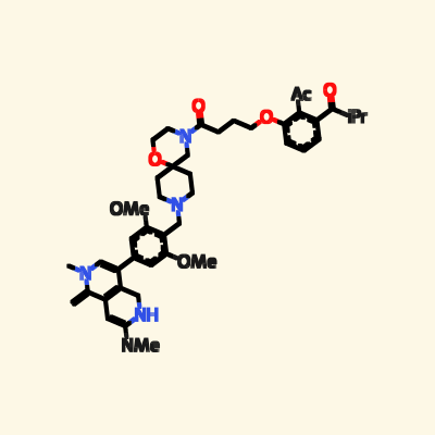 C=C1C2=C(CNC(NC)=C2)C(c2cc(OC)c(CN3CCC4(CC3)CN(C(=O)CCCOc3cccc(C(=O)C(C)C)c3C(C)=O)CCO4)c(OC)c2)=CN1C